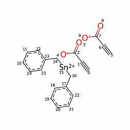 C#CC(=O)[O-].C#CC(=O)[O-].c1ccc([CH2][Sn+2][CH2]c2ccccc2)cc1